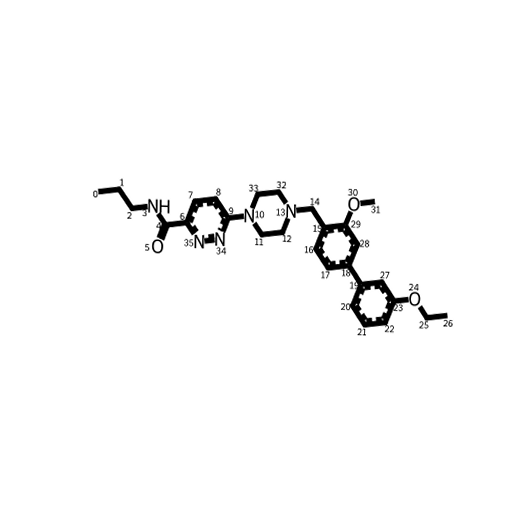 CCCNC(=O)c1ccc(N2CCN(Cc3ccc(-c4cccc(OCC)c4)cc3OC)CC2)nn1